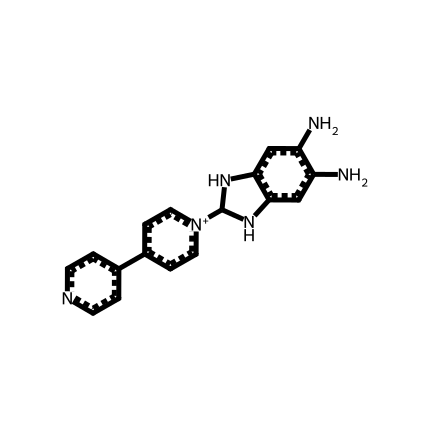 Nc1cc2c(cc1N)NC([n+]1ccc(-c3ccncc3)cc1)N2